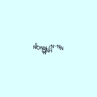 CN1CCN(CCCN2CC=C(c3cc4c(Nc5ccc6ncsc6c5)ccnc4[nH]3)CC2)CC1